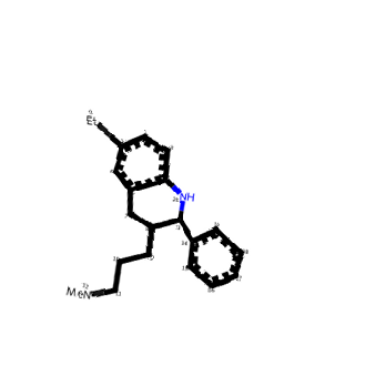 CCc1ccc2c(c1)CC(CCCNC)C(c1ccccc1)N2